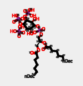 CCCCCCCCCCCCCCCC(=O)OC[C@H](COP(=O)(O)OC1[C@H](O)[C@H](OP(=O)(O)O)C(OP(=O)(O)O)[C@H](OP(=O)(O)O)[C@H]1O)OC(=O)CCCCCCCCCCCCCCC